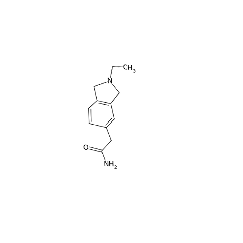 CCN1Cc2ccc(CC(N)=O)cc2C1